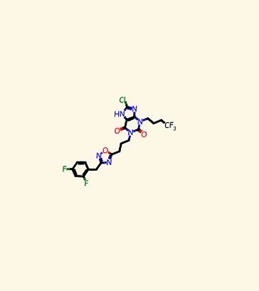 O=c1c2[nH]c(Cl)nc2n(CCCC(F)(F)F)c(=O)n1CCCc1nc(Cc2ccc(F)cc2F)no1